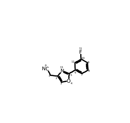 N#CCc1coc(-c2cccc(F)c2)n1